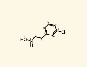 ONCCc1cccc(Cl)c1